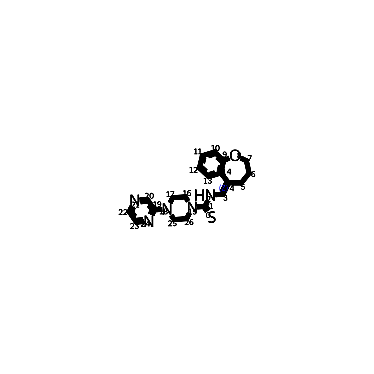 S=C(N/C=C1/CCCOc2ccccc21)N1CCN(c2cnccn2)CC1